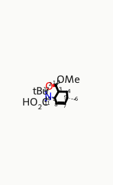 COC(=O)C1C[C@H](C)C=C[C@@H]1N(C(=O)O)C(C)(C)C